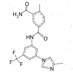 Cc1cn(-c2cc(NC(=O)c3ccc(C)c(C(N)=O)c3)cc(C(F)(F)F)c2)cn1